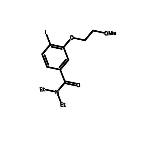 CCN(CC)C(=O)c1ccc(I)c(OCCOC)c1